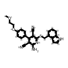 COCCOc1ccc(-c2c(C#N)c(N)nc(SCc3cccc4[nH]ccc34)c2C#N)cc1